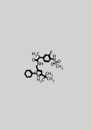 C[C@H](C(=O)NCc1cc(C(C)(C)C)nn1C1=CCCCC1)c1ccc(NS(C)(=O)=O)c(F)c1